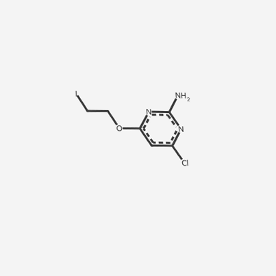 Nc1nc(Cl)cc(OCCI)n1